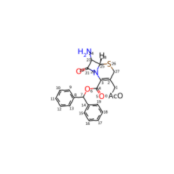 CC(=O)OCC1=C(C(=O)OC(c2ccccc2)c2ccccc2)N2C(=O)C(N)[C@@H]2SC1